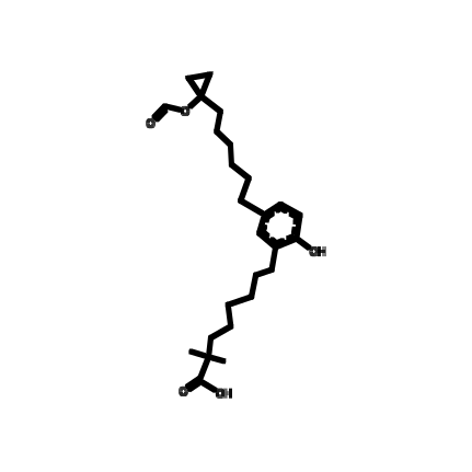 CC(C)(CCCCCCc1cc(CCCCCCC2(OC=O)CC2)ccc1O)C(=O)O